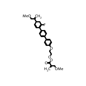 C=C(COC)C(=O)OOCCOc1ccc(-c2ccc(C3=C(F)CC(C(=C)COC)C=C3)cc2)cc1